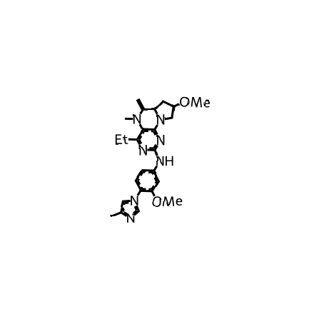 C=C1C2CC(OC)CN2c2nc(Nc3ccc(-n4cnc(C)c4)c(OC)c3)nc(CC)c2N1C